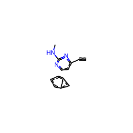 C#Cc1ccnc(NC)n1.c1cc2cc-2c1